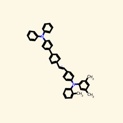 Cc1cc(C)cc(N(c2ccc(/C=C/c3ccc(-c4ccc(N(c5ccccc5)c5ccccc5)cc4)cc3)cc2)c2ccccc2C)c1